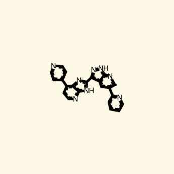 c1ccc(-c2cnc3[nH]nc(-c4nc5c(-c6ccncc6)ccnc5[nH]4)c3c2)nc1